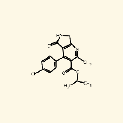 Cc1nc2c(c(-c3ccc(Cl)cc3)c1C(=O)OC(C)C)C(=O)NC2